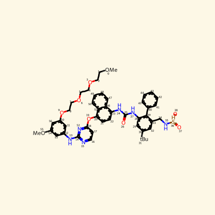 COCCOCCOCCOc1cc(Nc2nccc(Oc3ccc(NC(=O)Nc4cc(C(C)(C)C)cc(CN[SH](=O)=O)c4-c4ccccc4)c4ccccc34)n2)cc(OC)c1